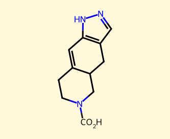 O=C(O)N1CCC2=Cc3[nH]ncc3CC2C1